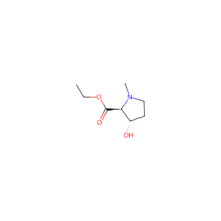 CCOC(=O)[C@@H]1[C@@H](O)CCN1C